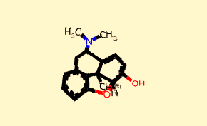 CN(C)C1Cc2cccc3c2C2(C)C1=CC=C(O)[C@@H]2O3